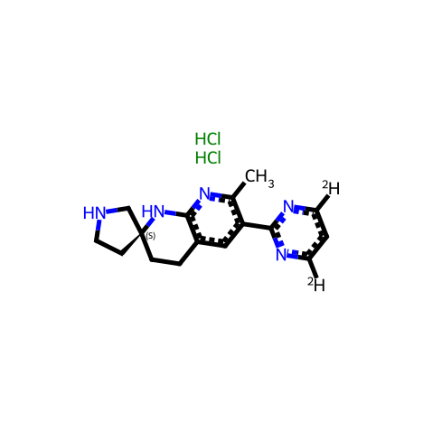 Cl.Cl.[2H]c1cc([2H])nc(-c2cc3c(nc2C)N[C@]2(CCNC2)CC3)n1